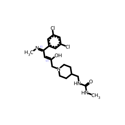 C/N=C(\C=C(/O)CN1CCC(CNC(=O)NC)CC1)c1cc(Cl)cc(Cl)c1